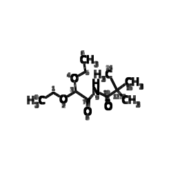 CCOC(OCC)C(=O)NC(=O)C(C)(C)C